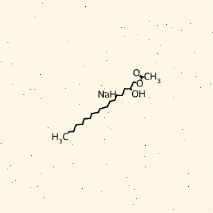 CCCCCCCCCCCCCCCCC(O)COC(C)=O.[NaH]